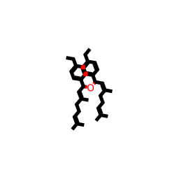 CCc1ccc(C(C=C(C)CCC=C(C)C)OC(C=C(C)CCC=C(C)C)c2ccc(CC)cc2)cc1